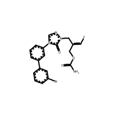 NC(=O)OC/C(=C/F)Cn1ncn(-c2cccc(-c3cccc(Br)c3)c2)c1=O